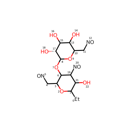 CCC1OC(CN=O)C(OC2OC(CN=O)C(O)C(O)[C@H]2O)C(N=O)C1O